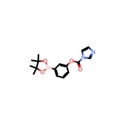 CC1(C)OB(c2cccc(OC(=O)n3ccnc3)c2)OC1(C)C